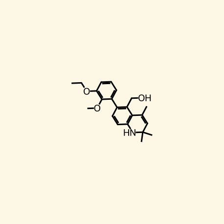 CCOc1cccc(-c2ccc3c(c2CO)C(C)=CC(C)(C)N3)c1OC